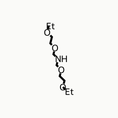 CCOCCOCNCOCCOCC